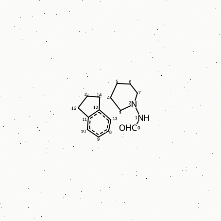 O=CNN1CCCCC1.c1ccc2c(c1)CCC2